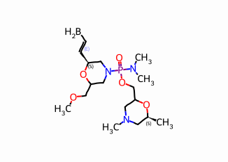 B/C=C/[C@H]1CN(P(=O)(OCC2CN(C)C[C@H](C)O2)N(C)C)CC(COC)O1